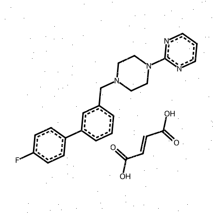 Fc1ccc(-c2cccc(CN3CCN(c4ncccn4)CC3)c2)cc1.O=C(O)C=CC(=O)O